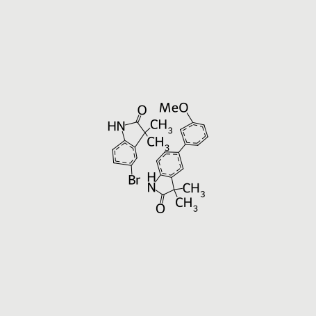 CC1(C)C(=O)Nc2ccc(Br)cc21.COc1cccc(-c2ccc3c(c2)C(C)(C)C(=O)N3)c1